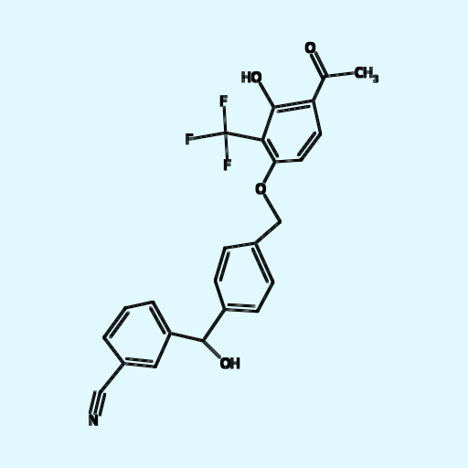 CC(=O)c1ccc(OCc2ccc(C(O)c3cccc(C#N)c3)cc2)c(C(F)(F)F)c1O